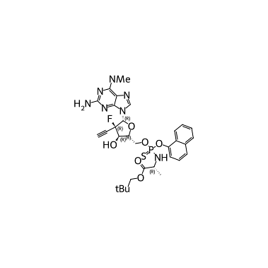 C#C[C@@]1(F)[C@H](O)[C@@H](COP(=S)(N[C@H](C)C(=O)OCC(C)(C)C)Oc2cccc3ccccc23)O[C@H]1n1cnc2c(NC)nc(N)nc21